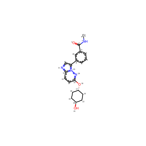 CCNC(=O)c1cccc(-c2cnc3ccc(O[C@H]4CC[C@H](O)CC4)nn23)c1